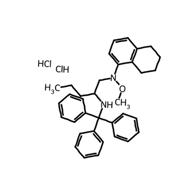 CCCC(CN(OC)c1cccc2c1CCCC2)NC(c1ccccc1)(c1ccccc1)c1ccccc1.Cl.Cl